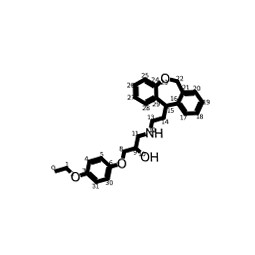 CCOc1ccc(OCC(O)CNCCC2c3ccccc3COc3ccccc32)cc1